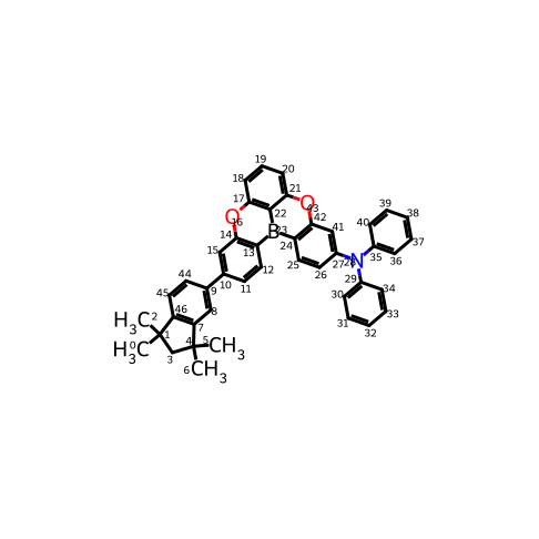 CC1(C)CC(C)(C)c2cc(-c3ccc4c(c3)Oc3cccc5c3B4c3ccc(N(c4ccccc4)c4ccccc4)cc3O5)ccc21